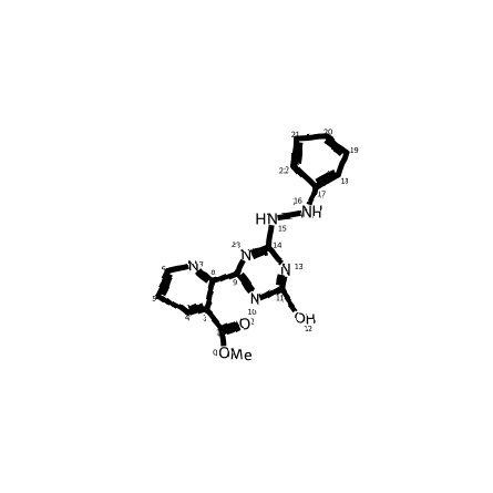 COC(=O)c1cccnc1-c1nc(O)nc(NNc2ccccc2)n1